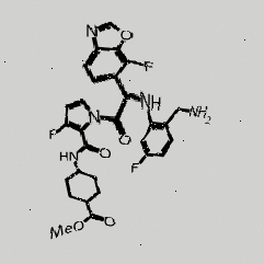 COC(=O)C1CCC(NC(=O)c2c(F)ccn2C(=O)C(Nc2cc(F)ccc2CN)c2ccc3ncoc3c2F)CC1